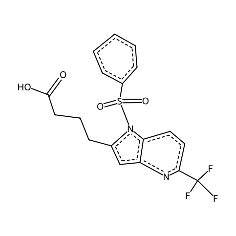 O=C(O)CCCc1cc2nc(C(F)(F)F)ccc2n1S(=O)(=O)c1ccccc1